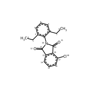 CCc1cccc(CC)c1N1C(=O)c2cccc(Cl)c2C1=O